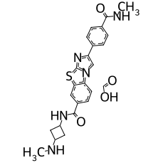 CNC(=O)c1ccc(-c2cn3c(n2)sc2cc(C(=O)NC4CC(NC)C4)ccc23)cc1.O=CO